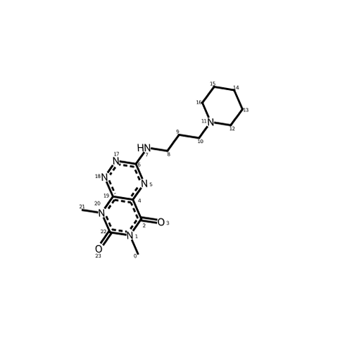 Cn1c(=O)c2nc(NCCCN3CCCCC3)nnc2n(C)c1=O